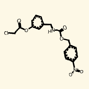 O=C(CCl)Oc1cccc(CNC(=O)OCc2ccc([N+](=O)[O-])cc2)c1